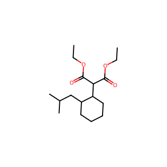 CCOC(=O)C(C(=O)OCC)C1CCCCC1CC(C)C